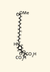 COC(=O)CCCCCCCCCCCCCCCNc1ccc(C(=O)OC(CC(=O)O)C(=O)O)cc1